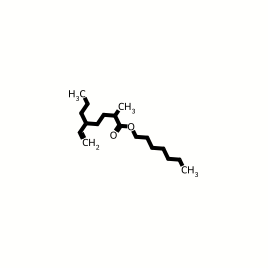 C=CC(CCC)CCC(C)C(=O)OCCCCCCC